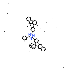 CC1(C)c2ccccc2-c2cccc(-c3ccc(-c4nc(-c5ccccc5)nc(-c5ccc6c(c5)C5(c7cc8ccccc8cc7-6)C6CC7CC(C6)CC5C7)n4)cc3)c21